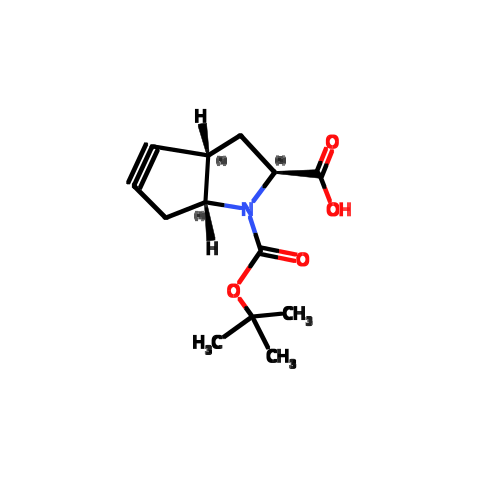 CC(C)(C)OC(=O)N1[C@@H]2CC#C[C@@H]2C[C@H]1C(=O)O